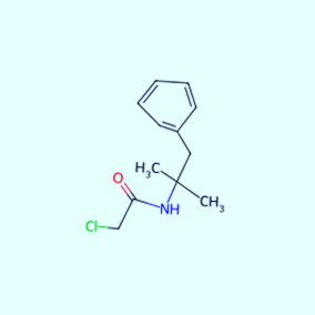 CC(C)(Cc1ccccc1)NC(=O)CCl